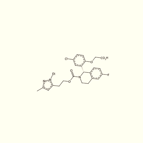 CCn1nc(C)cc1CCOC(=O)N1CCc2cc(F)ccc2[C@H]1c1cc(Cl)ccc1OCC(=O)O